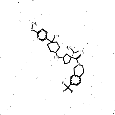 COc1ccc(C2(O)CCC(N[C@@H]3CC[C@@](C(=O)N4CCc5ccc(C(F)(F)F)cc5C4)(C(C)C)C3)CC2)cn1